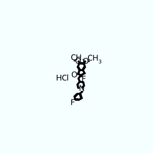 CCOc1cc2c(cc1OCC)C(=O)C(F)(CC1CCN(Cc3ccc(F)cc3)CC1)C2.Cl